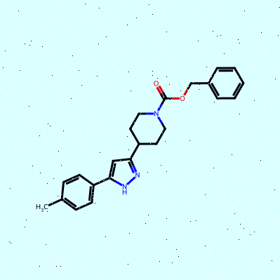 Cc1ccc(-c2cc(C3CCN(C(=O)OCc4ccccc4)CC3)n[nH]2)cc1